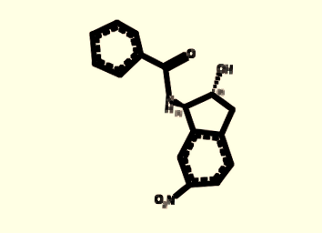 O=C(N[C@@H]1c2cc([N+](=O)[O-])ccc2C[C@H]1O)c1ccccc1